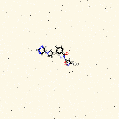 Cc1ccc(C(=O)Nc2cc(C(C)(C)C)no2)cc1[C@@H]1CCN(c2cncnc2)C1